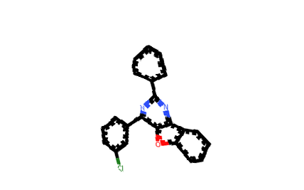 Clc1cccc(-c2nc(-c3ccccc3)nc3c2oc2ccccc23)c1